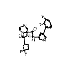 O=C(NC1(C(=O)Nc2cncc(-c3cccc(F)c3F)c2)C=NC=CN1)C1CCC(F)(F)C1